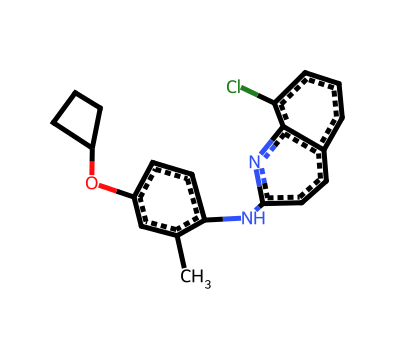 Cc1cc(OC2CCC2)ccc1Nc1ccc2cccc(Cl)c2n1